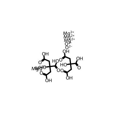 O=C(O)CC(O)(CC(=O)O)C(=O)O.O=C(O)CC(O)(CC(=O)O)C(=O)O.[Mg+2].[Mg+2].[Mg+2].[Mg+2].[Mg+2].[O-2].[O-2]